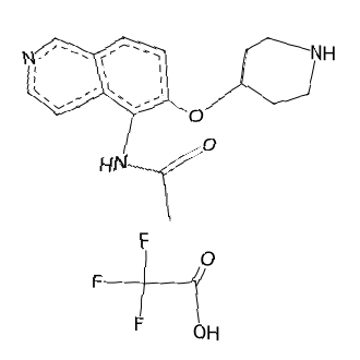 CC(=O)Nc1c(OC2CCNCC2)ccc2cnccc12.O=C(O)C(F)(F)F